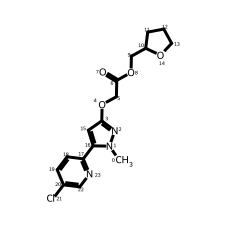 Cn1nc(OCC(=O)OCC2CCCO2)cc1-c1ccc(Cl)cn1